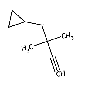 C#CC(C)(C)[CH]C1CC1